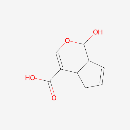 O=C(O)C1=COC(O)C2C=CCC12